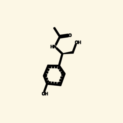 CC(=O)N[C@@H](CO)c1ccc(O)cc1